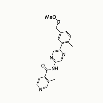 COOCc1ccc(C)c(-c2cnc(NC(=O)c3ccncc3C)cn2)c1